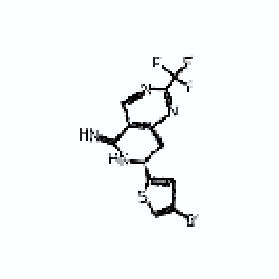 N=C1N[C@H](c2cc(Br)cs2)Cc2nc(C(F)(F)F)ncc21